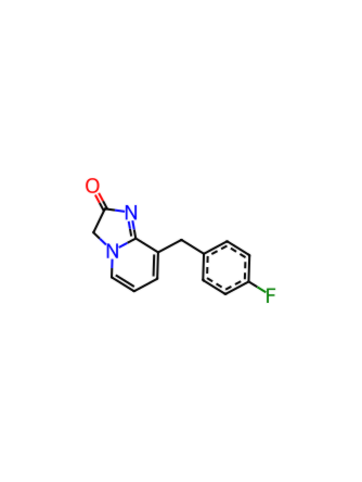 O=C1CN2C=CC=C(Cc3ccc(F)cc3)C2=N1